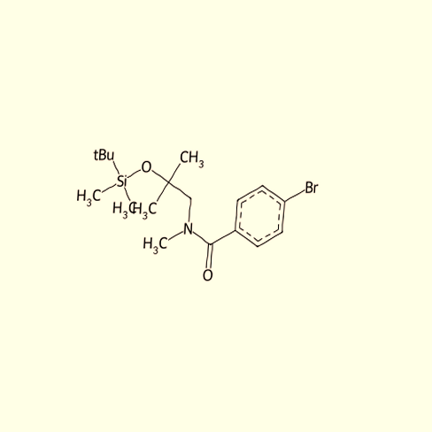 CN(CC(C)(C)O[Si](C)(C)C(C)(C)C)C(=O)c1ccc(Br)cc1